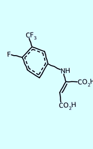 O=C(O)C=C(Nc1ccc(F)c(C(F)(F)F)c1)C(=O)O